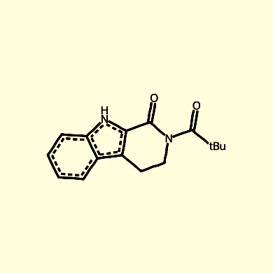 CC(C)(C)C(=O)N1CCc2c([nH]c3ccccc23)C1=O